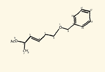 CC(=O)OC(C)C=CCCOCc1ccccc1